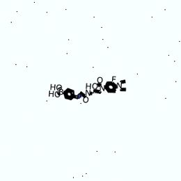 CCN(CC)c1ccc(N2C[C@H](CNC(=O)/C=C/c3ccc(B(O)O)cc3)OC2=O)cc1F